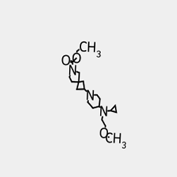 CCOC(=O)N1CCC2(CC(N3CCC(N(CCOC)C4CC4)CC3)C2)C1